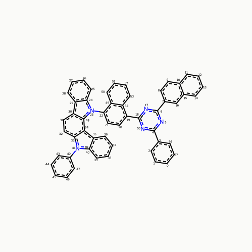 c1ccc(-c2nc(-c3ccc4ccccc4c3)nc(-c3ccc(-n4c5ccccc5c5ccc6c(c7ccccc7n6-c6ccccc6)c54)c4ccccc34)n2)cc1